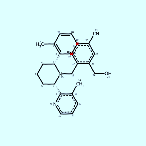 CC1=C([C@H]2CCC[C@@H](c3ncccc3C)N2Cc2ccc(C#N)cc2CO)NCC=C1